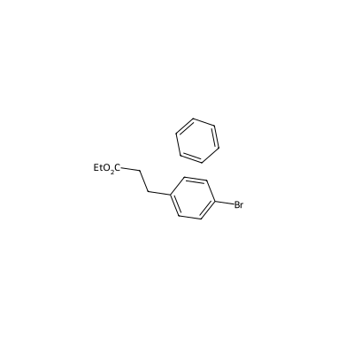 CCOC(=O)CCc1ccc(Br)cc1.c1ccccc1